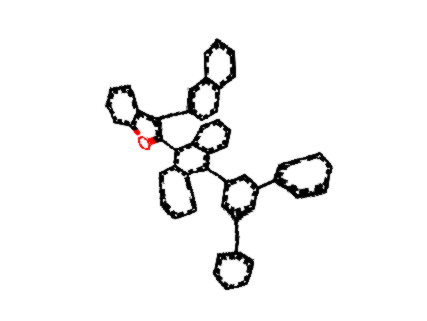 c1ccc(-c2cc(-c3ccccc3)cc(-c3c4ccccc4c(-c4oc5ccccc5c4-c4ccc5ccccc5c4)c4ccccc34)c2)cc1